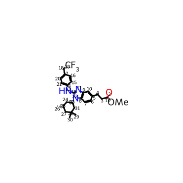 COC(=O)CCc1ccc2c(c1)nc(Nc1ccc(CC(F)(F)F)cc1)n2[C@H]1C[C@@H](C)CC(C)(C)C1